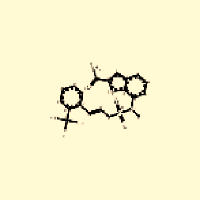 CN(c1cccc2cc(C(N)=O)[nH]c12)S(=O)(=O)CC=Cc1ccccc1C(F)(F)F